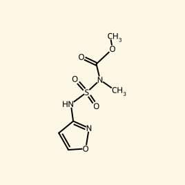 COC(=O)N(C)S(=O)(=O)Nc1ccon1